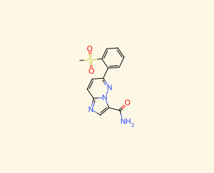 CS(=O)(=O)c1ccccc1-c1ccc2ncc(C(N)=O)n2n1